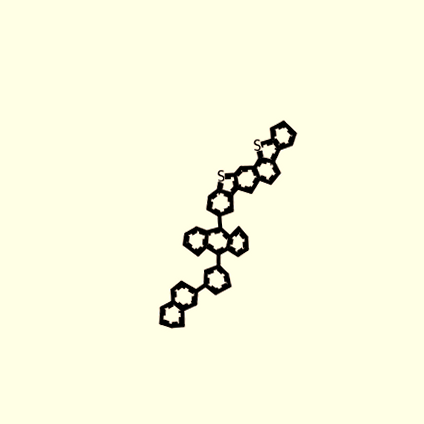 c1cc(-c2ccc3ccccc3c2)cc(-c2c3ccccc3c(-c3ccc4sc5cc6c(ccc7c8ccccc8sc67)cc5c4c3)c3ccccc23)c1